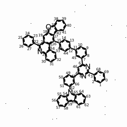 c1ccc(-c2nc(-c3cccc(-c4ccc(-c5c6c(cc7c(-c8ccccc8)nc8ccccc8c57)oc5ccccc56)cc4)c3)cc(-c3cccc(-n4c5ccccc5c5ccccc54)c3)n2)cc1